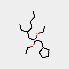 CCCCC(CC)C[Si]([CH]C1CCCC1)(OCC)OCC